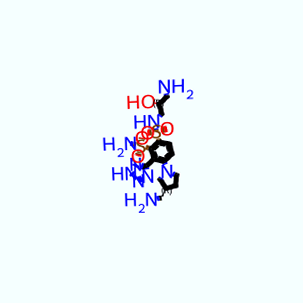 NC[C@@H](O)CNS(=O)(=O)c1ccc(N2CC[C@H](CN)C2)c(-c2nn[nH]n2)c1S(N)(=O)=O